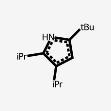 CC(C)c1cc(C(C)(C)C)[nH]c1C(C)C